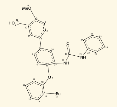 COc1ccc(-c2ccc(Oc3ccccc3C(C)(C)C)c(NC(=O)Nc3ccccc3)c2)cc1C(=O)O